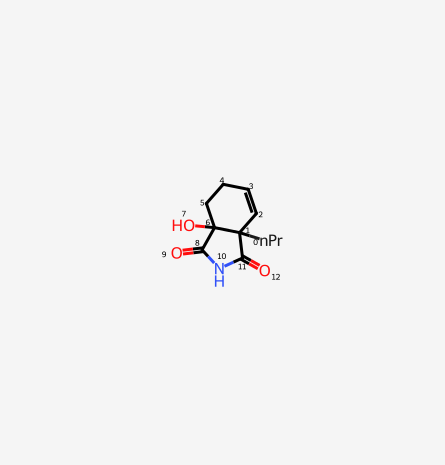 CCCC12C=CCCC1(O)C(=O)NC2=O